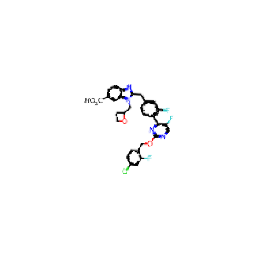 O=C(O)c1ccc2nc(Cc3ccc(-c4nc(OCc5ccc(Cl)cc5F)ncc4F)c(F)c3)n(CC3CCO3)c2c1